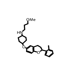 COCCCNC1CCC(Oc2ccc3c(c2)CCC(c2ccccc2C)O3)CC1